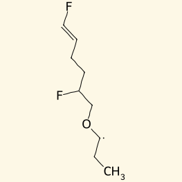 CC[CH]OCC(F)CCC=CF